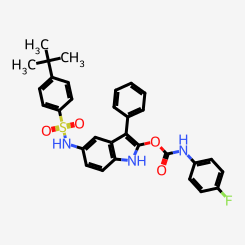 CC(C)(C)c1ccc(S(=O)(=O)Nc2ccc3[nH]c(OC(=O)Nc4ccc(F)cc4)c(-c4ccccc4)c3c2)cc1